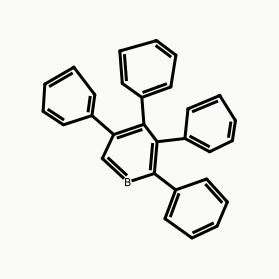 b1cc(-c2ccccc2)c(-c2ccccc2)c(-c2ccccc2)c1-c1ccccc1